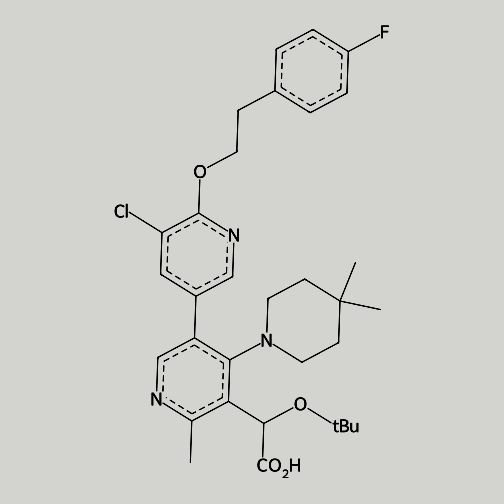 Cc1ncc(-c2cnc(OCCc3ccc(F)cc3)c(Cl)c2)c(N2CCC(C)(C)CC2)c1C(OC(C)(C)C)C(=O)O